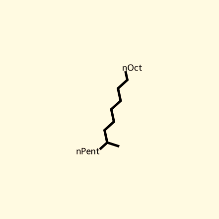 [CH2]CCCCCCCCCCCCCC(C)CCCC[CH2]